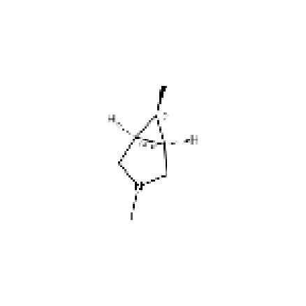 C[C@H]1[C@H]2CN(I)C[C@@H]12